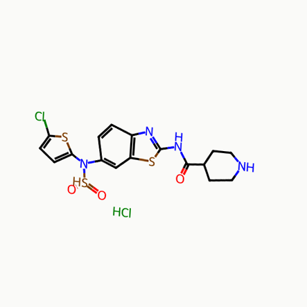 Cl.O=C(Nc1nc2ccc(N(c3ccc(Cl)s3)[SH](=O)=O)cc2s1)C1CCNCC1